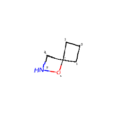 C1CC2(C1)CNO2